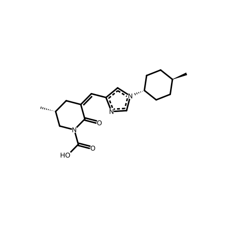 C[C@@H]1CC(=Cc2cn([C@H]3CC[C@H](C)CC3)cn2)C(=O)N(C(=O)O)C1